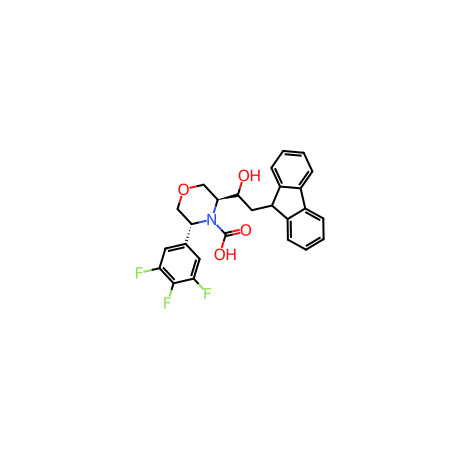 O=C(O)N1[C@H](c2cc(F)c(F)c(F)c2)COC[C@H]1C(O)CC1c2ccccc2-c2ccccc21